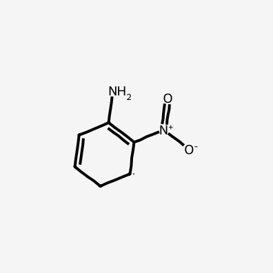 NC1=C([N+](=O)[O-])[CH]CC=C1